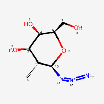 C[C@@H]1[C@@H](O)[C@@H](O)[C@@H](CO)O[C@H]1N=[N+]=[N-]